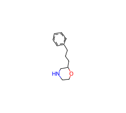 c1ccc(CCCC2CNCCO2)cc1